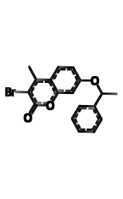 Cc1c(Br)c(=O)oc2cc(OC(C)c3ccccc3)ccc12